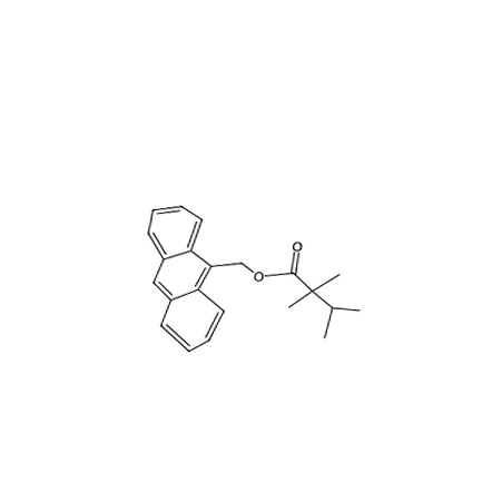 CC(C)C(C)(C)C(=O)OCc1c2ccccc2cc2ccccc12